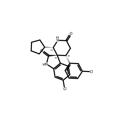 O=C1C[C@H](c2cccc(Cl)c2)[C@@]2(C(=O)Nc3cc(Cl)ccc32)[C@H](C2CCCC2)N1